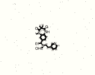 CCC(c1ccc2c(c1)N(C)C(=O)C(C)(C)C(=O)N2)N(C=O)CCc1cccnc1